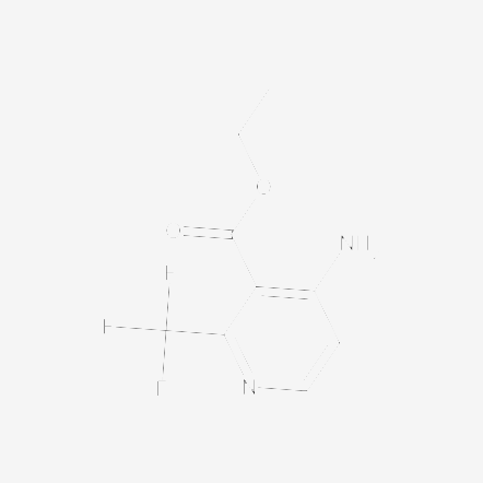 CCOC(=O)c1c(N)ccnc1C(F)(F)F